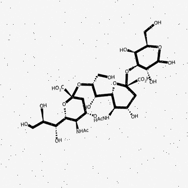 CC(=O)N[C@H]1[C@H]([C@H](O)[C@H](O)CO)O[C@@](O[C@H](CO)[C@@H](O)[C@@H]2O[C@@](O[C@H]3[C@@H](O)[C@@H](CO)OC(O)[C@@H]3O)(C(=O)O)C[C@H](O)[C@H]2NC(C)=O)(C(=O)O)C[C@@H]1O